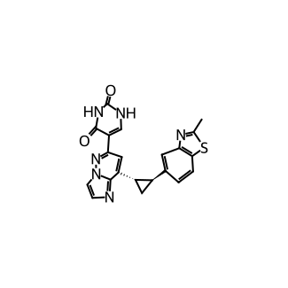 Cc1nc2cc([C@H]3C[C@@H]3c3cc(-c4c[nH]c(=O)[nH]c4=O)nn4ccnc34)ccc2s1